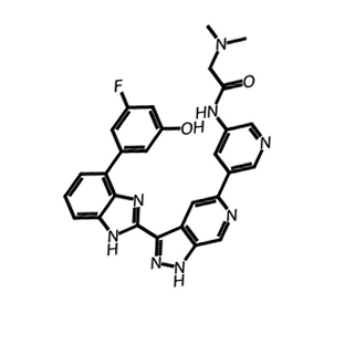 CN(C)CC(=O)Nc1cncc(-c2cc3c(-c4nc5c(-c6cc(O)cc(F)c6)cccc5[nH]4)n[nH]c3cn2)c1